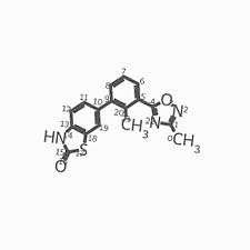 Cc1noc(-c2cccc(-c3ccc4[nH]c(=O)sc4c3)c2C)n1